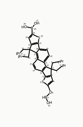 CC(C)CC1(CC(C)C)c2cc(OBO)sc2-c2ccc3c4c(ccc3c21)-c1sc(B(O)O)cc1C4(CC(C)C)CC(C)C